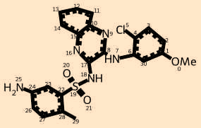 COc1ccc(Cl)c(Nc2nc3ccccc3nc2NS(=O)(=O)c2cc(N)ccc2C)c1